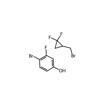 FC1(F)CC1CBr.Oc1ccc(Br)c(F)c1